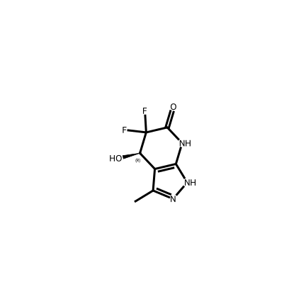 Cc1n[nH]c2c1[C@@H](O)C(F)(F)C(=O)N2